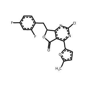 Cc1ccc(-c2nc(Cl)nc3c2C(=O)OC3Cc2ccc(F)cc2F)o1